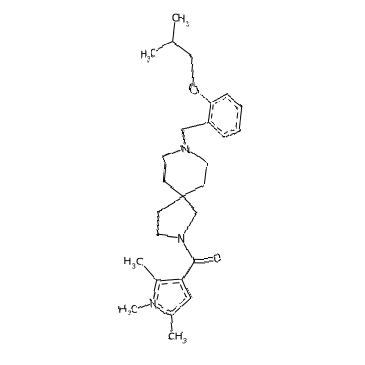 Cc1cc(C(=O)N2CCC3(CCN(Cc4ccccc4OCC(C)C)CC3)C2)c(C)n1C